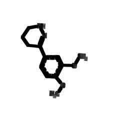 COc1ccc(C2=NNCCC2)cc1OC